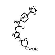 CC(=O)N[C@@H]1CC[C@@H](c2nnc(CC(=O)NC34CCC(c5nncs5)(CC3)CC4)s2)OC1